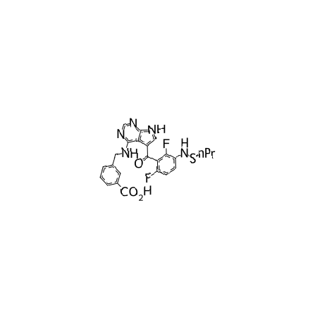 CCCSNc1ccc(F)c(C(=O)c2c[nH]c3ncnc(NCc4cccc(C(=O)O)c4)c23)c1F